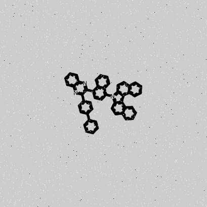 c1ccc(-c2ccc(-c3nc4ccccc4nc3-c3ccc(-n4c5ccc6ccccc6c5c5c6ccccc6ccc54)c4ccccc34)cc2)cc1